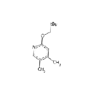 Cc1cnc(OCC(C)(C)C)cc1C